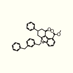 COC(=O)c1cccc2c1c1c(n2Cc2cccc(Cc3ccccc3)c2)CC(c2ccccc2)CC1=O